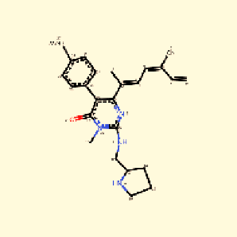 C=C/C(C#N)=C\C=C(/C)c1nc(NCC2CCCN2)n(C)c(=O)c1-c1ccc(OC)cc1